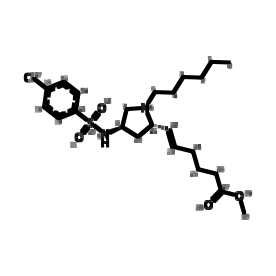 CCCCCCN1C[C@H](NS(=O)(=O)c2ccc(Cl)cc2)C[C@H]1C=CCCCC(=O)OC